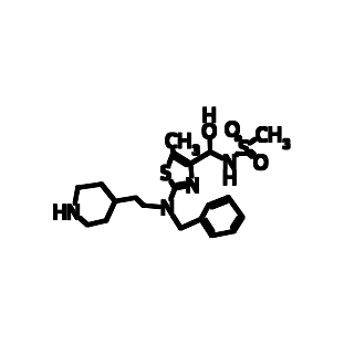 Cc1sc(N(CCC2CCNCC2)Cc2ccccc2)nc1C(O)NS(C)(=O)=O